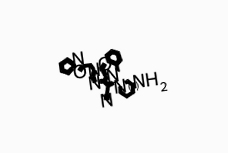 N#Cc1c(N2CCC[C@H](N)C2)n(Cc2ccccc2)c2c(=O)n(Cc3nc4ccccc4o3)cnc12